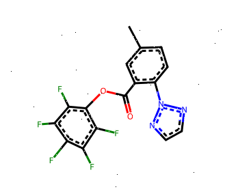 Cc1ccc(-n2nccn2)c(C(=O)Oc2c(F)c(F)c(F)c(F)c2F)c1